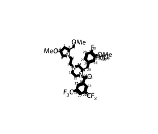 COC[C@@H]1C[C@@H](OC)CN1CCN1CCN(C(=O)c2cc(C(F)(F)F)cc(C(F)(F)F)c2)[C@H](Cc2ccc(F)c(OC)c2)C1.Cl.Cl